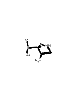 Cc1c[nH]nc1B(O)O